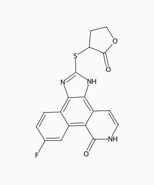 O=C1OCCC1Sc1nc2c3ccc(F)cc3c3c(=O)[nH]ccc3c2[nH]1